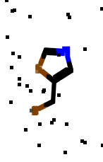 [S]Cc1cncs1